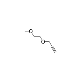 [C]#CCOCCOC